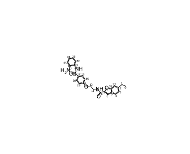 CCc1ccc2cc(C(=O)NCCOc3ccc(C(=O)Nc4ccccc4N)cc3)oc2c1